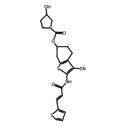 N#Cc1c(NC(=O)C=Cc2cccs2)sc2c1CCC(OC(=O)N1CCC(O)C1)C2